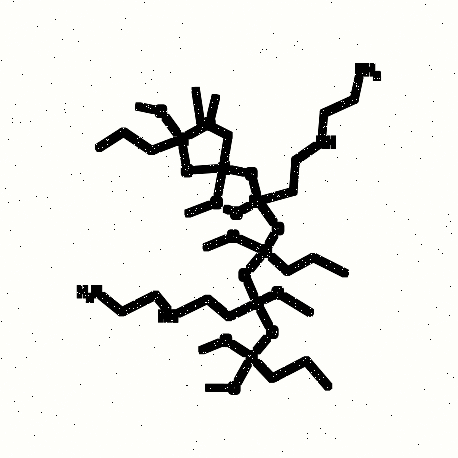 CCC[Si](OC)(OC)O[Si](CCNCCN)(OC)O[Si](CCC)(OC)O[Si](CCNCCN)(OC)O[Si](CCC)(OC)O[Si](CCC)(OC)OC